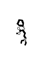 CCN(/C=C/C=C(/Sc1ccccc1)C(=O)OC)CC